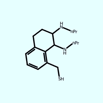 CCCNC1CCc2cccc(CS)c2C1NCCC